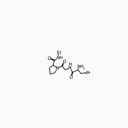 CCNC(=O)C1CCCN1C(=O)CNC(=O)C(N)CC(C)C